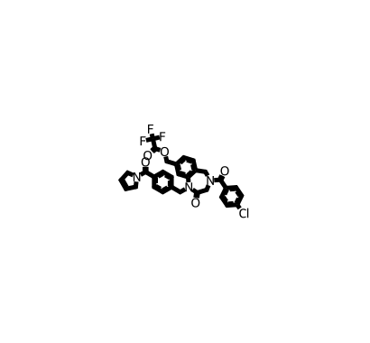 O=C(c1ccc(CN2C(=O)CN(C(=O)c3ccc(Cl)cc3)Cc3ccc(COC(=O)C(F)(F)F)cc32)cc1)N1CC=CC1